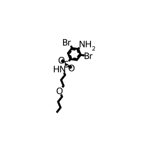 CCCCOCCCNS(=O)(=O)c1cc(Br)c(N)c(Br)c1